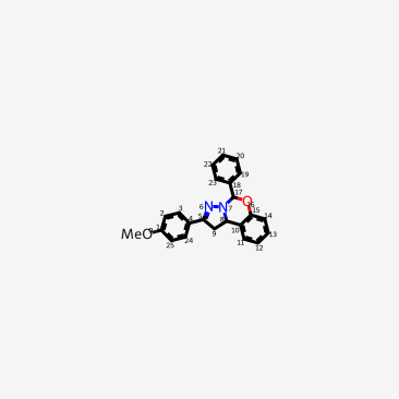 COc1ccc(C2=NN3C(C2)c2ccccc2OC3c2ccccc2)cc1